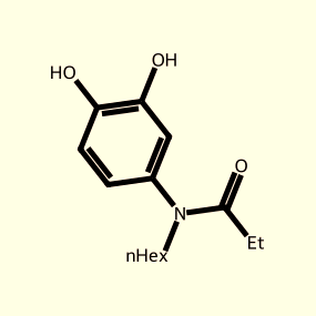 CCCCCCN(C(=O)CC)c1ccc(O)c(O)c1